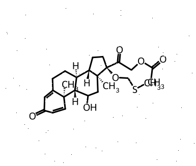 CSCO[C@]1(C(=O)COC(C)=O)CC[C@H]2[C@@H]3CCC4=CC(=O)C=C[C@]4(C)[C@H]3C(O)C[C@@]21C